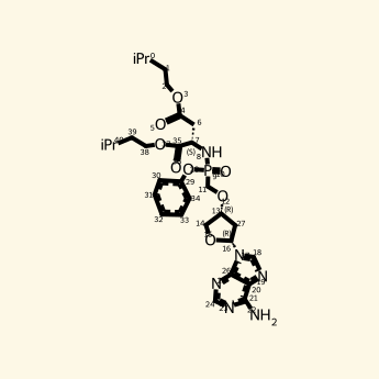 CC(C)CCOC(=O)C[C@H](NP(=O)(CO[C@H]1CO[C@@H](n2cnc3c(N)ncnc32)C1)Oc1ccccc1)C(=O)OCCC(C)C